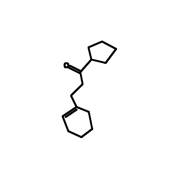 O=C(CCC1=CCCCC1)C1CCCC1